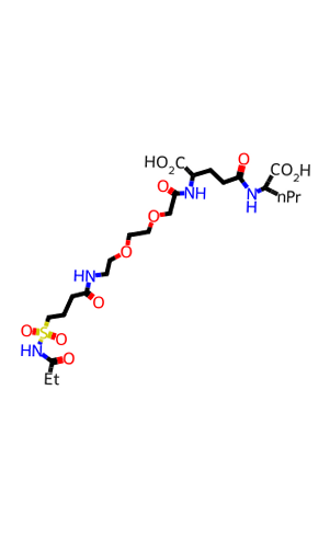 CCCC(NC(=O)CCC(NC(=O)COCCOCCNC(=O)CCCS(=O)(=O)NC(=O)CC)C(=O)O)C(=O)O